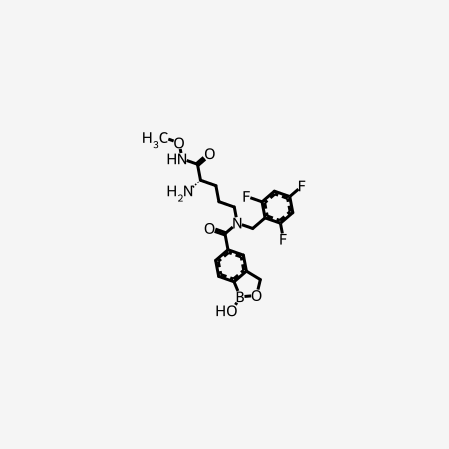 CONC(=O)[C@@H](N)CCCN(Cc1c(F)cc(F)cc1F)C(=O)c1ccc2c(c1)COB2O